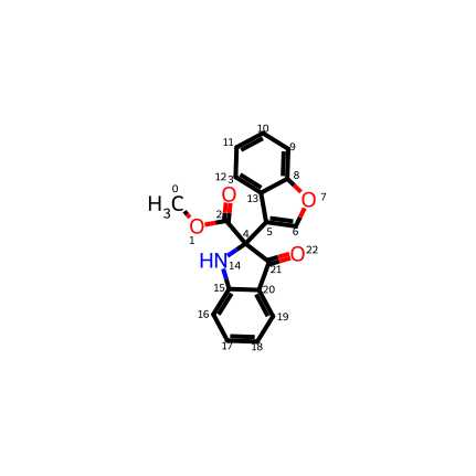 COC(=O)C1(c2coc3ccccc23)Nc2ccccc2C1=O